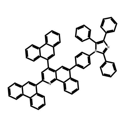 c1ccc(-c2nc(-c3ccccc3)n(-c3ccc(-c4cc5c(-c6cc7ccccc7c7ccccc67)cc(-c6cc7ccccc7c7ccccc67)nc5c5ccccc45)cc3)c2-c2ccccc2)cc1